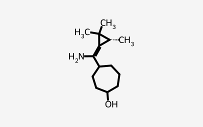 C[C@@H]1/C(=C(/N)C2CCCC(O)CC2)C1(C)C